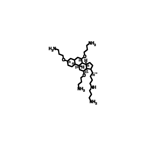 C[C@H](CCCNCCCN)C1CC[C@H]2C3[C@H](OCCCN)CC4C[C@H](OCCCN)CC[C@]4(C)[C@H]3C[C@H](OCCCN)[C@]12C